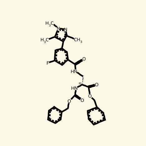 Cc1nn(C)c(C)c1-c1cc(F)cc(C(=O)NC[C@@H](NC(=O)OCc2ccccc2)C(=O)OCc2ccccc2)c1